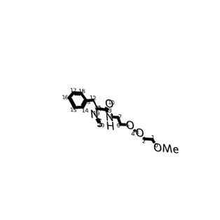 COCCOCOCCNC(=O)[C@H](Cc1ccccc1)N=S